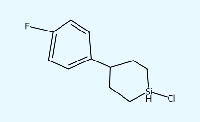 Fc1ccc(C2CC[SiH](Cl)CC2)cc1